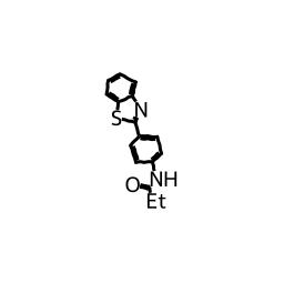 CCC(=O)Nc1ccc(-c2nc3ccccc3s2)cc1